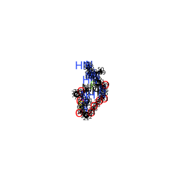 CN[C@@H](C)C(=O)NC(C(=O)N1CCC[C@H]1c1nc(C(=O)c2cccc(OCCOCCOCC(=O)N3CCN(C(=O)c4ccc(Nc5nc(C6CC6)cn6c(-c7cn[nH]c7)cnc56)c(F)c4)CC3)c2)cs1)C1CCCCC1